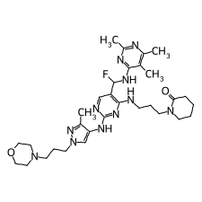 Cc1nc(C)c(C)c(NC(F)c2cnc(Nc3cn(CCCN4CCOCC4)nc3C)nc2NCCCN2CCCCC2=O)n1